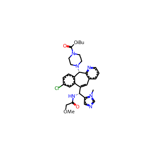 COCC(=O)N[C@H](C1=Cc2cccnc2[C@@H](N2CCN(C(=O)OCC(C)C)CC2)c2ccc(Cl)cc21)c1cncn1C